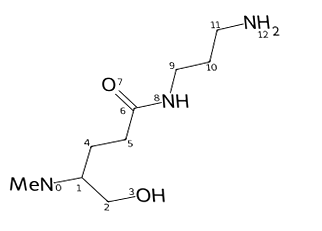 CNC(CO)CCC(=O)NCCCN